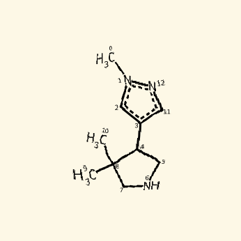 Cn1cc(C2CNCC2(C)C)cn1